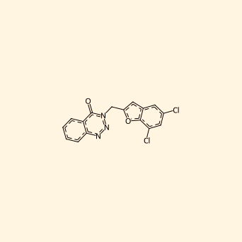 O=c1c2ccccc2nnn1Cc1cc2cc(Cl)cc(Cl)c2o1